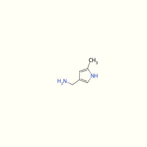 Cc1cc(CN)c[nH]1